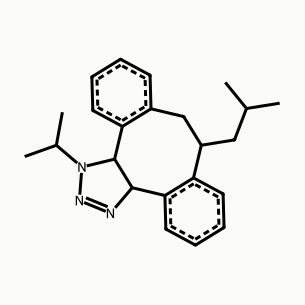 CC(C)CC1Cc2ccccc2C2C(N=NN2C(C)C)c2ccccc21